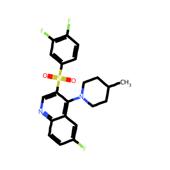 CC1CCN(c2c(S(=O)(=O)c3ccc(F)c(F)c3)cnc3ccc(F)cc23)CC1